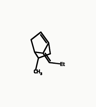 CCC=C1C2=CCC1C(C)C2